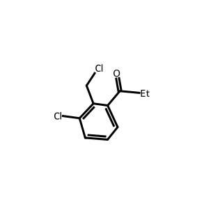 CCC(=O)c1cccc(Cl)c1CCl